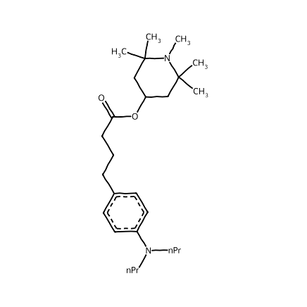 CCCN(CCC)c1ccc(CCCC(=O)OC2CC(C)(C)N(C)C(C)(C)C2)cc1